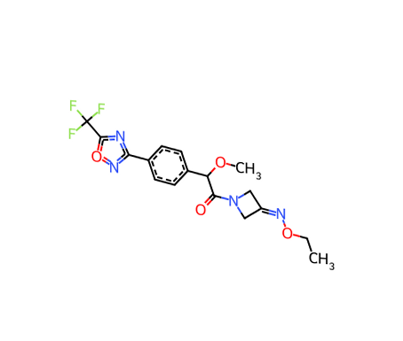 CCON=C1CN(C(=O)C(OC)c2ccc(-c3noc(C(F)(F)F)n3)cc2)C1